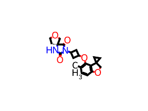 Cc1ccc2c(c1OC1CC(N3C(=O)N[C@]4(CCOC4)C3=O)C1)C1(CC1)CO2